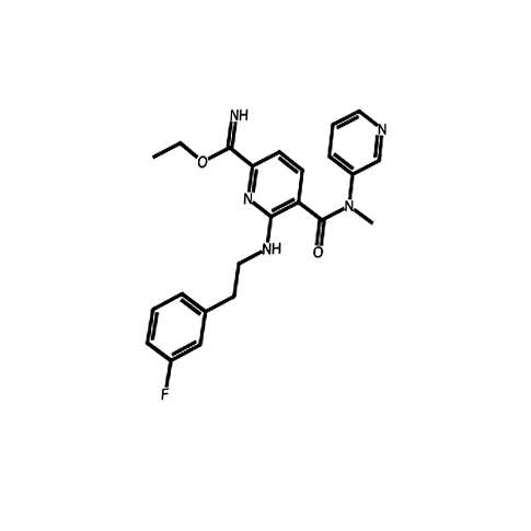 CCOC(=N)c1ccc(C(=O)N(C)c2cccnc2)c(NCCc2cccc(F)c2)n1